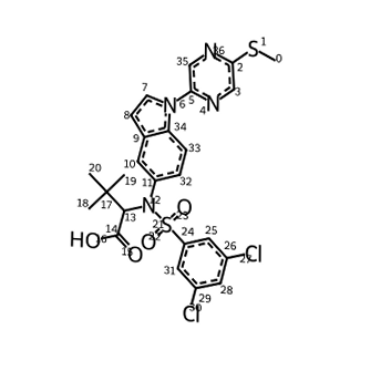 CSc1cnc(-n2ccc3cc(N(C(C(=O)O)C(C)(C)C)S(=O)(=O)c4cc(Cl)cc(Cl)c4)ccc32)cn1